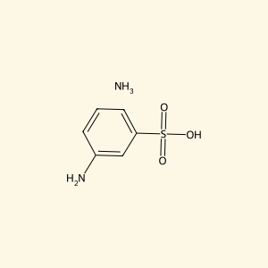 N.Nc1cccc(S(=O)(=O)O)c1